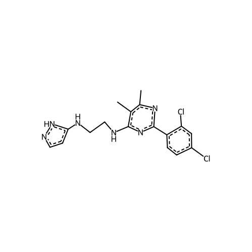 Cc1nc(-c2ccc(Cl)cc2Cl)nc(NCCNc2ccn[nH]2)c1C